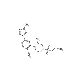 CCCS(=O)(=O)N1CCN(c2nc(-c3cnn(C)c3)ncc2C#N)C(C)C1